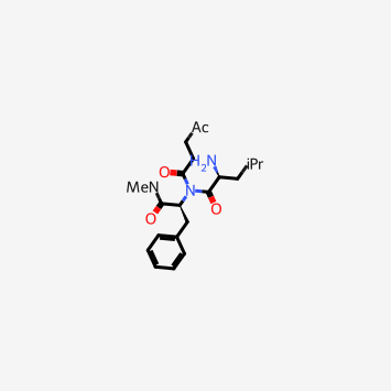 CNC(=O)[C@H](Cc1ccccc1)N(C(=O)CCC(C)=O)C(=O)[C@@H](N)CC(C)C